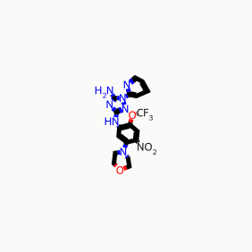 Nc1nc(Nc2cc(N3CCOCC3)c([N+](=O)[O-])cc2OC(F)(F)F)nn1-c1ccccn1